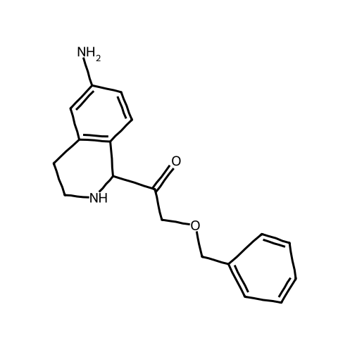 Nc1ccc2c(c1)CCNC2C(=O)COCc1ccccc1